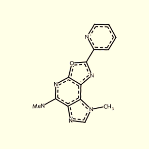 CNc1nc2oc(-c3ccccn3)nc2c2c1ncn2C